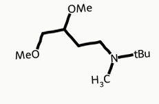 COCC(CCN(C)C(C)(C)C)OC